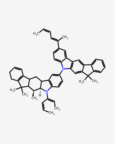 C/C=C\C=C(/C)c1ccc2c(c1)c1cc3c(cc1n2-c1ccc2c(c1)C1CC4C5=C(CCC=C5)C(C)(C)C4[C@H](C)[C@@H]1N2C(/C=C\C)=C/C)C(C)(C)c1ccccc1-3